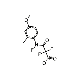 COc1ccc(N(F)C(=O)C(F)(F)[N+](=O)[O-])c(C)c1